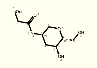 CCCCCCCCCC(=O)N[C@H]1CO[C@H](CO)[C@@H](O)C1